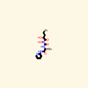 [CH2]C(C)CC[C@H](O)C(=O)N(O)C(=O)N[C@H](C(=O)Nc1ccccn1)C(C)(C)C